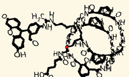 C=C(NCCCCC1CN2CCNC(=O)c3cccc(c3O)C(=O)NCCN(CCNC(=O)c3cccc(c3O)C(=O)N1)CCN1CCNC(=O)c3cccc(c3O)C(=O)NCCN(CC2)CC(CCCCNC(=O)CCCC(=O)O)NC(=O)c2cccc(c2O)C(=O)NCC1)Nc1ccc(-c2c3ccc(=O)cc-3oc3cc(O)ccc23)c(C=O)c1